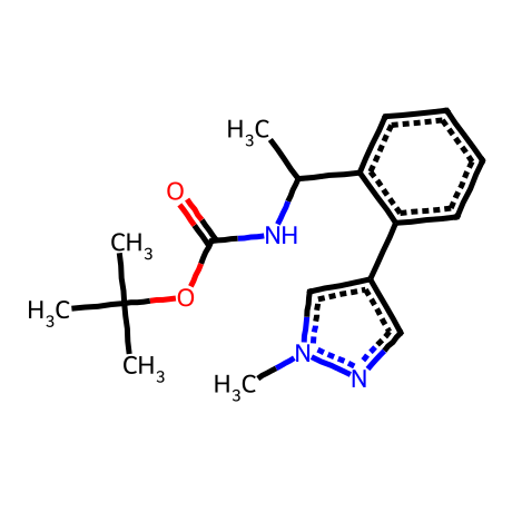 CC(NC(=O)OC(C)(C)C)c1ccccc1-c1cnn(C)c1